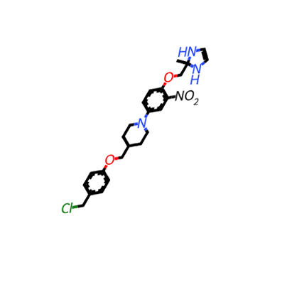 CC1(COc2ccc(N3CCC(COc4ccc(CCl)cc4)CC3)cc2[N+](=O)[O-])NC=CN1